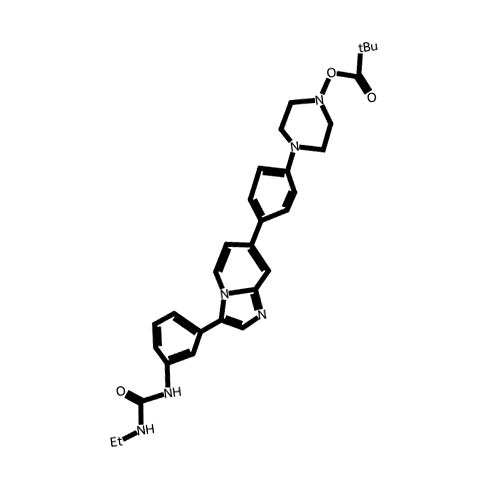 CCNC(=O)Nc1cccc(-c2cnc3cc(-c4ccc(N5CCN(OC(=O)C(C)(C)C)CC5)cc4)ccn23)c1